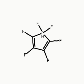 FC1=C(F)[PH](F)(F)C(F)=C1F